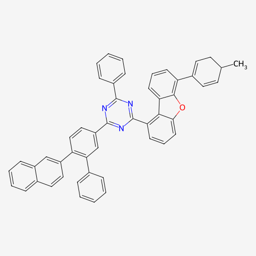 CC1C=CC(c2cccc3c2oc2cccc(-c4nc(-c5ccccc5)nc(-c5ccc(-c6ccc7ccccc7c6)c(-c6ccccc6)c5)n4)c23)=CC1